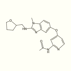 CC(=O)Nc1cc(Oc2ccc3c(c2)nc(NCC2CCCO2)n3C)ccn1